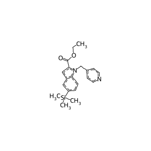 CCOC(=O)c1cc2cc([Si](C)(C)C)ccc2n1Cc1ccncc1